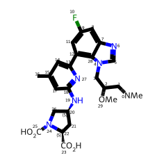 CNCC(Cn1cnc2cc(F)cc(-c3cc(C)cc(N[C@H]4C[C@@H](C(=O)O)N(C(=O)O)C4)n3)c21)OC